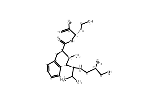 CC(C)[C@@H](CN(C)[C@@H](Cc1ccccc1)C(=O)N[C@@H](CCO)C(=O)O)NC[C@@H](N)CS